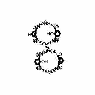 CC1CN(CCN2CCNC(=O)c3cccc(c3O)C(=O)NCCN(C)CCNC(=O)c3cccc(c3O)C(=O)NCC2)CCNC(=O)c2cccc(c2O)C(=O)NCCN(C)CCNC(=O)c2cccc(c2O)C(=O)N1